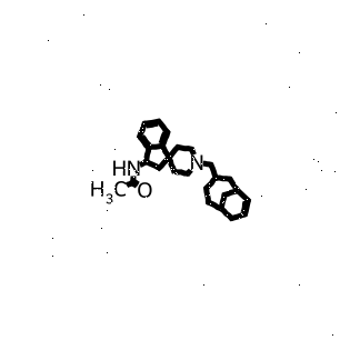 CC(=O)NC1CC2(CCN(CC3CCC4CC=CC(C4)C3)CC2)c2ccccc21